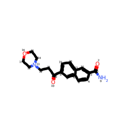 NC(=O)c1ccc2cc(C(=O)CCN3CCOCC3)ccc2c1